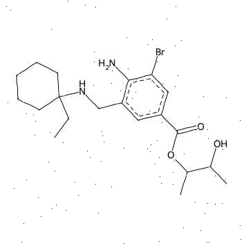 CCC1(NCc2cc(C(=O)OC(C)C(C)O)cc(Br)c2N)CCCCC1